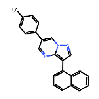 Cc1ccc(-c2cnc3c(-c4cccc5ccccc45)cnn3c2)cc1